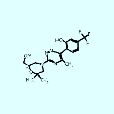 Cc1nc(N2C[C@H](CO)OC(C)(C)C2)nnc1-c1ccc(C(F)(F)F)cc1O